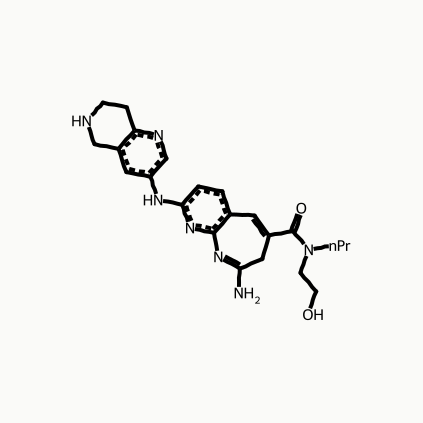 CCCN(CCO)C(=O)C1=Cc2ccc(Nc3cnc4c(c3)CNCC4)nc2N=C(N)C1